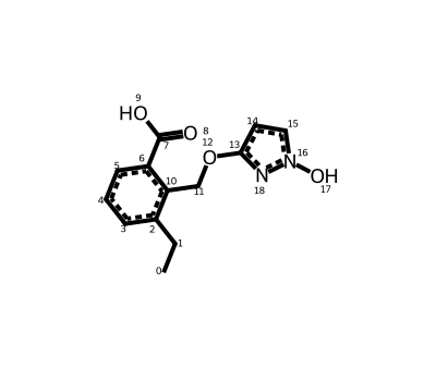 CCc1cccc(C(=O)O)c1COc1ccn(O)n1